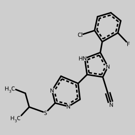 CCC(C)Sc1ncc(-c2[nH]c(-c3c(F)cccc3Cl)nc2C#N)cn1